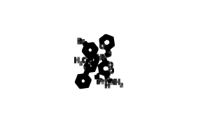 CC(C)C[C@@H](C(=O)NN)[C@@H](C(=O)NOC1CCCCO1)C(/C=C/c1ccccc1)(Cc1ccc(Br)cc1)S(C)(=O)=O